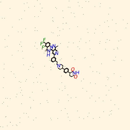 Cc1nnc(N[C@H](C)c2cccc(C(F)F)c2F)c2cc(-c3cccc(CCN4CCC(c5ccc(C6CCC(=O)NC6=O)cc5)CC4)c3)ncc12